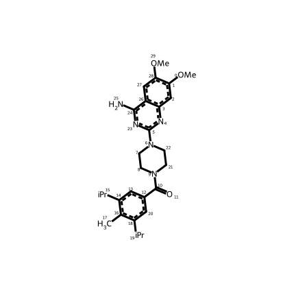 COc1cc2nc(N3CCN(C(=O)c4cc(C(C)C)c(C)c(C(C)C)c4)CC3)nc(N)c2cc1OC